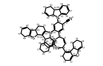 N#CC1C=C(C2C=CC(C3=C4C(=CCC3)OC3=CCCCC34)NC(C3CCCCC3)N2)C(N2C3=C(C4CCC=CC42)C2SC4=C(C=CCC4)C2CC3)=CC1N1c2ccccc2C2CCC=CC21